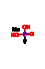 O=[P](O)(O)[V].[Mo]